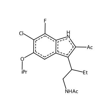 CCC(CNC(C)=O)c1c(C(C)=O)[nH]c2c(F)c(Cl)c(OC(C)C)cc12